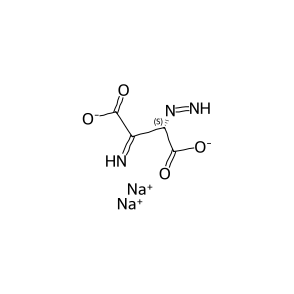 N=N[C@@H](C(=N)C(=O)[O-])C(=O)[O-].[Na+].[Na+]